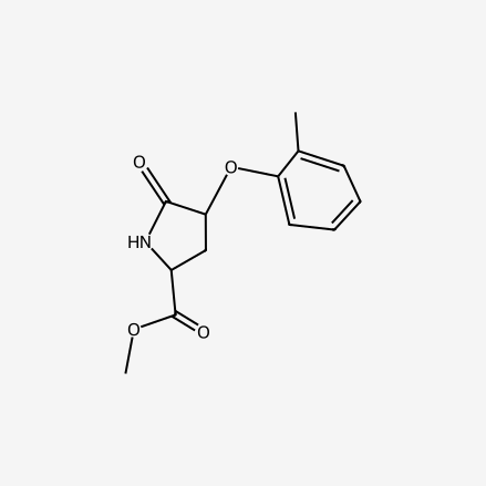 COC(=O)C1CC(Oc2ccccc2C)C(=O)N1